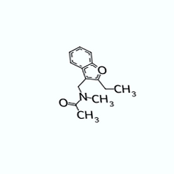 CCc1oc2ccccc2c1CN(C)C(C)=O